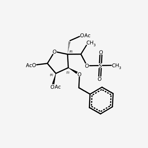 CC(=O)OC[C@@]1(C(C)OS(C)(=O)=O)OC(OC(C)=O)[C@H](OC(C)=O)[C@@H]1OCc1ccccc1